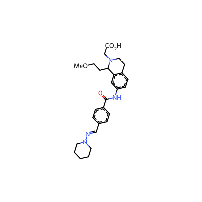 COCCC1c2cc(NC(=O)c3ccc(C=NN4CCCCC4)cc3)ccc2CCN1CC(=O)O